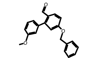 COc1cccc(-c2cc(OCc3ccccc3)ccc2C=O)c1